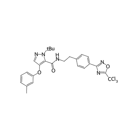 Cc1cccc(Oc2cnn(C(C)(C)C)c2C(=O)NCCc2ccc(-c3noc(C(Cl)(Cl)Cl)n3)cc2)c1